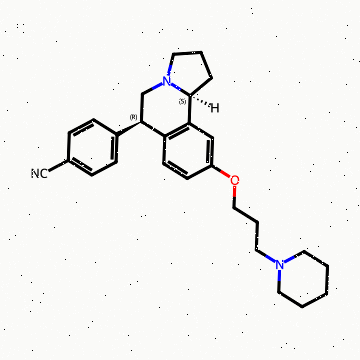 N#Cc1ccc([C@H]2CN3CCC[C@H]3c3cc(OCCCN4CCCCC4)ccc32)cc1